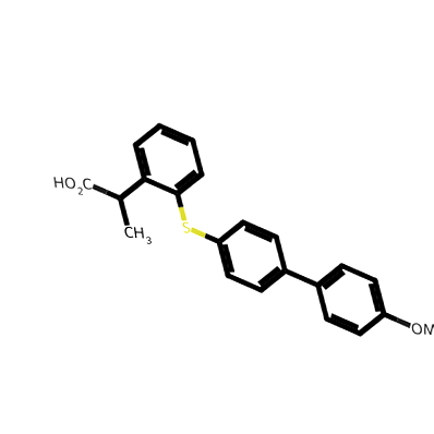 COc1ccc(-c2ccc(Sc3ccccc3C(C)C(=O)O)cc2)cc1